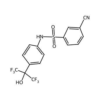 N#Cc1cccc(S(=O)(=O)Nc2ccc(C(O)(C(F)(F)F)C(F)(F)F)cc2)c1